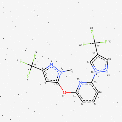 Cn1nc(C(F)(F)F)cc1Oc1cccc(-n2cc(C(F)(F)F)cn2)n1